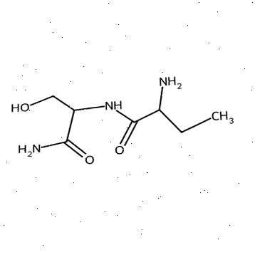 CCC(N)C(=O)NC(CO)C(N)=O